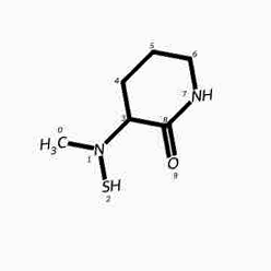 CN(S)C1CCCNC1=O